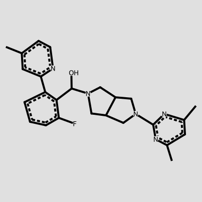 Cc1ccnc(-c2cccc(F)c2C(O)N2CC3CN(c4nc(C)cc(C)n4)CC3C2)c1